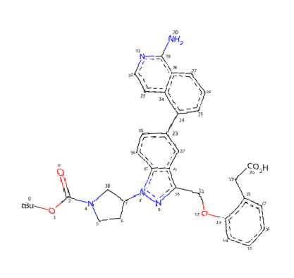 CC(C)(C)OC(=O)N1CCC(n2nc(COc3ccccc3CC(=O)O)c3cc(-c4cccc5c(N)nccc45)ccc32)C1